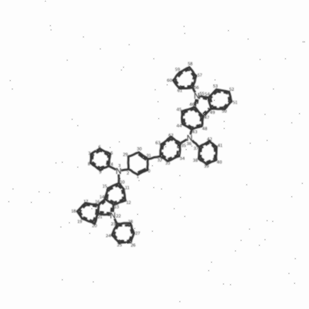 C1=CC(N(c2ccccc2)c2ccc3c(c2)c2ccccc2n3-c2ccccc2)CC=C1c1ccc(N(c2ccccc2)c2ccc3c(c2)c2ccccc2n3-c2ccccc2)cc1